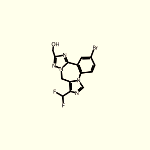 OCc1nc2n(n1)Cc1c(C(F)F)ncn1-c1ccc(Br)cc1-2